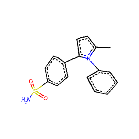 Cc1ccc(-c2ccc(S(N)(=O)=O)cc2)n1-c1ccccc1